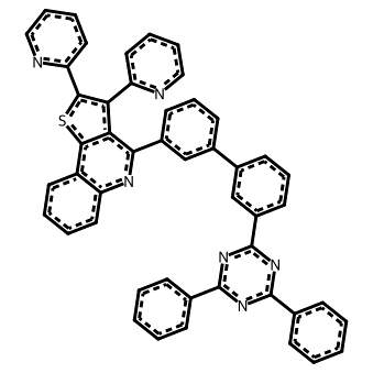 c1ccc(-c2nc(-c3ccccc3)nc(-c3cccc(-c4cccc(-c5nc6ccccc6c6sc(-c7ccccn7)c(-c7ccccn7)c56)c4)c3)n2)cc1